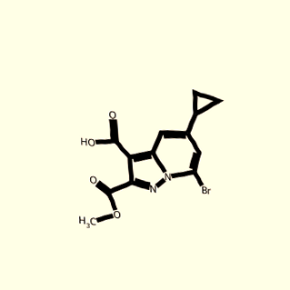 COC(=O)c1nn2c(Br)cc(C3CC3)cc2c1C(=O)O